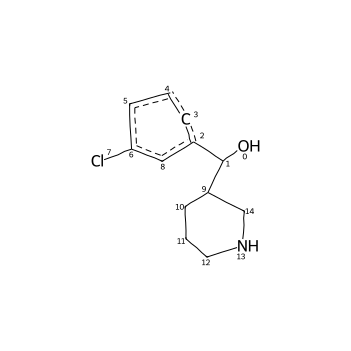 OC(c1cccc(Cl)c1)C1CCCNC1